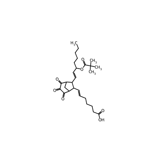 CCCCCC(/C=C/C1C2CC(C(=O)C(=O)C2=O)C1C=CCCCCC(=O)O)OC(=O)C(C)(C)C